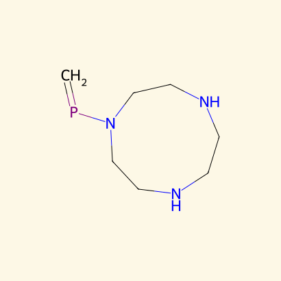 C=PN1CCNCCNCC1